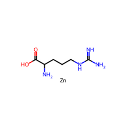 N=C(N)NCCCC(N)C(=O)O.[Zn]